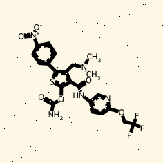 CN(C)Cc1c(-c2ccc([N+](=O)[O-])cc2)sc(OC(N)=O)c1C(=O)Nc1ccc(OCC(F)(F)F)nc1